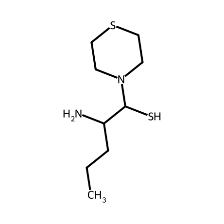 CCCC(N)C(S)N1CCSCC1